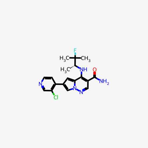 C[C@@H](Nc1c(C(N)=O)cnn2cc(-c3ccncc3Cl)cc12)C(C)(C)F